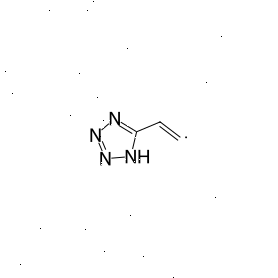 [CH]=Cc1nnn[nH]1